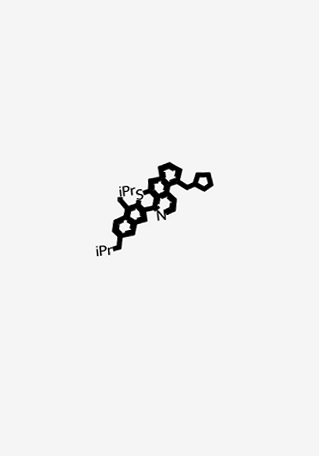 CC(C)Cc1ccc2c(CC(C)C)c3c(cc2c1)-c1nccc2c1c(cc1cccc(CC4CCCC4)c12)S3